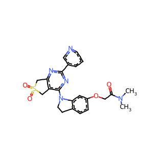 CN(C)C(=O)COc1ccc2c(c1)N(c1nc(-c3cccnc3)nc3c1CS(=O)(=O)C3)CC2